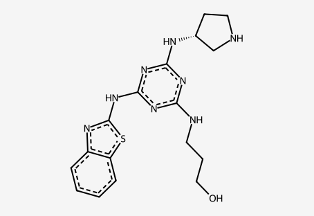 OCCCNc1nc(Nc2nc3ccccc3s2)nc(N[C@@H]2CCNC2)n1